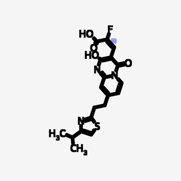 CC(C)c1csc(CCc2ccn3c(=O)c(/C=C(/F)C(=O)O)c(O)nc3c2)n1